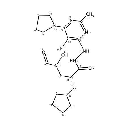 Cc1nc(NNC(=O)[C@H](CC2CCCC2)CN(O)C=O)c(F)c(N2CCCC2)n1